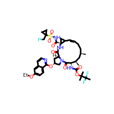 CCOc1ccc2c(O[C@@H]3C[C@H]4C(=O)N[C@]5(C(=O)NS(=O)(=O)C6(CF)CC6)CC5/C=C\CC[C@@H](C)C[C@@H](C)[C@H](NC(=O)OC(C)(C)C(C)(F)F)C(=O)N4C3)nccc2c1